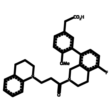 COc1ccc(CC(=O)O)cc1-c1ccc(F)c2c1CN(C(=O)CCN1CCCc3ccccc31)CC2